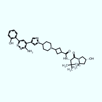 C[C@@H]1C[C@@H](O)CN1C(=O)[C@@H](NC(=O)C1CC(N2CCC(n3cc(-c4cc(-c5ccccc5O)nnc4N)cn3)CC2)C1)C(C)(C)C